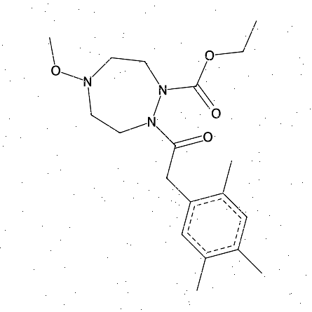 CCOC(=O)N1CCN(OC)CCN1C(=O)Cc1cc(C)c(C)cc1C